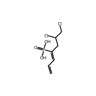 C=CC=C(CC(Cl)CCl)P(=O)(O)O